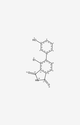 CCc1c(-c2cccc(O)c2)ccc2c1C(=O)NC2=O